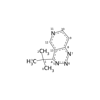 CC(C)(C)c1nnnc2ccncc12